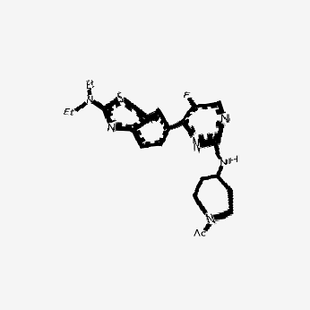 CCN(CC)c1nc2ccc(-c3nc(NC4CCN(C(C)=O)CC4)ncc3F)cc2s1